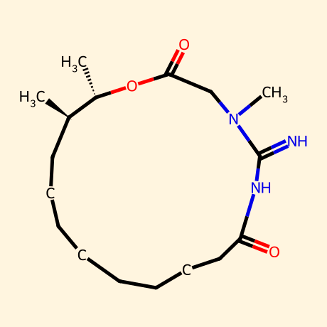 C[C@@H]1CCCCCCCCC(=O)NC(=N)N(C)CC(=O)O[C@H]1C